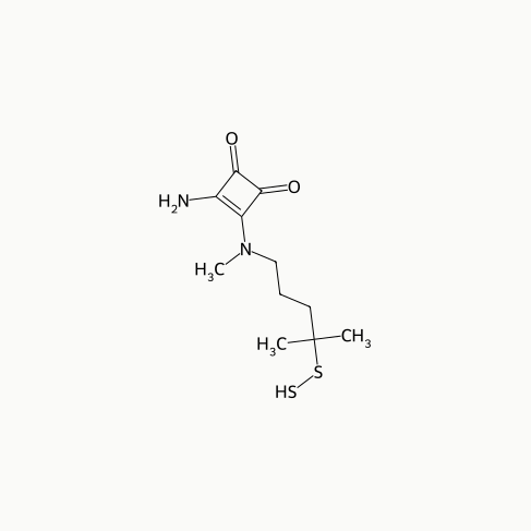 CN(CCCC(C)(C)SS)c1c(N)c(=O)c1=O